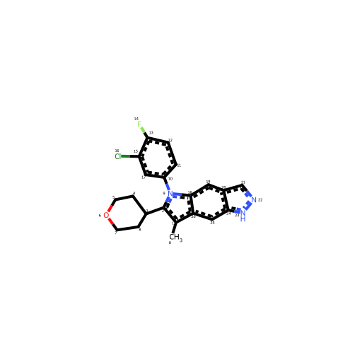 Cc1c(C2CCOCC2)n(-c2ccc(F)c(Cl)c2)c2cc3cn[nH]c3cc12